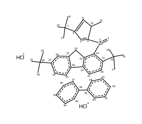 Cl.Cl.[CH2]=[Zr]([C]1=CC(C(C)(C)C)=CC1C)[c]1c(C(C)(C)C)ccc2c1Cc1cc(C(C)(C)C)ccc1-2.c1ccc(-c2ccccc2)cc1